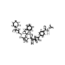 O=C(NC1CC1)c1ccc(-c2csc(NC(=O)C3CSC(CCCCC(=O)N4CCCCC4)N3C(=O)OCc3ccccc3)n2)cc1